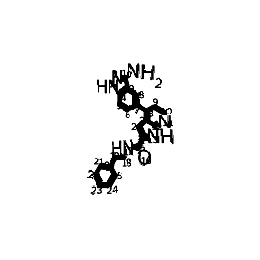 Nc1n[nH]c2ccc(-c3ccnc4[nH]c(C(=O)NCCc5ccccc5)cc34)cc12